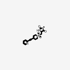 CN1C(=O)NC(CS(=O)(=O)N2CC=C(C#Cc3ccccn3)CC2)C1=O